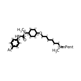 CCCCCN(C)CCCCCCOC1CCC(N(C)C(=O)Nc2ccc(C(C)=O)cc2)CC1